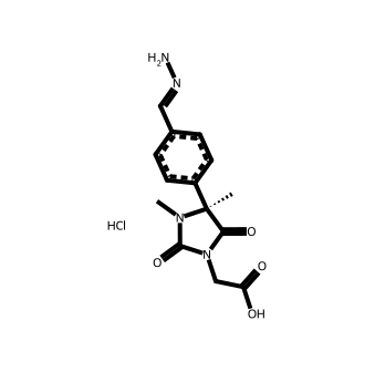 CN1C(=O)N(CC(=O)O)C(=O)[C@]1(C)c1ccc(C=NN)cc1.Cl